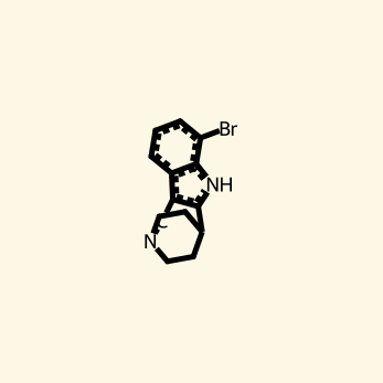 Brc1cccc2c3c([nH]c12)C1CCN(CC1)C3